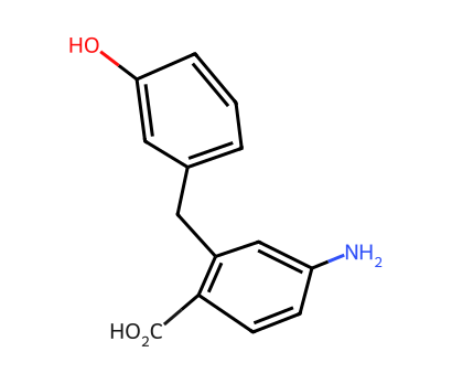 Nc1ccc(C(=O)O)c(Cc2cccc(O)c2)c1